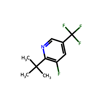 CC(C)(C)c1ncc(C(F)(F)F)cc1F